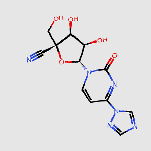 N#C[C@]1(CO)O[C@@H](n2ccc(-n3cncn3)nc2=O)[C@H](O)[C@@H]1O